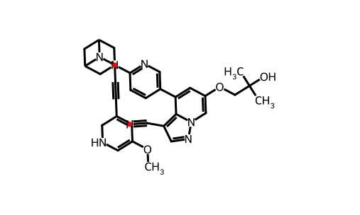 COC1=CNCC(C#CCN2C3CC2CN(c2ccc(-c4cc(OCC(C)(C)O)cn5ncc(C#N)c45)cn2)C3)=C1